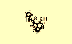 Cl.O=C(NC1CCCC1)C1CSC23C=CC=CC2=NCCC13